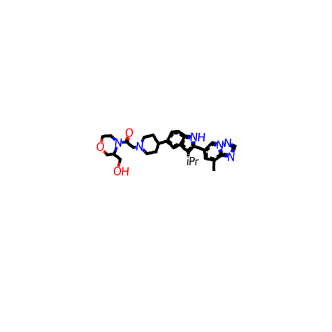 Cc1cc(-c2[nH]c3ccc(C4CCN(CC(=O)N5CCOCC5CO)CC4)cc3c2C(C)C)cn2ncnc12